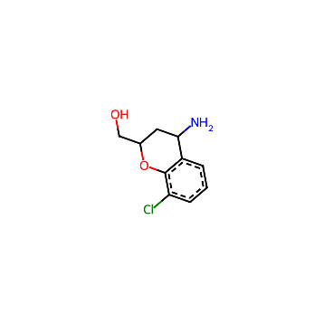 NC1CC(CO)Oc2c(Cl)cccc21